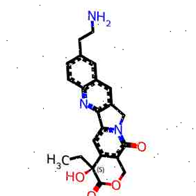 CC[C@@]1(O)C(=O)OCc2c1cc1n(c2=O)Cc2cc3cc(CCN)ccc3nc2-1